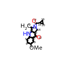 C=C1c2[nH]c3ccc(OC)cc3c(=O)c2CN1C(=O)C1CC1